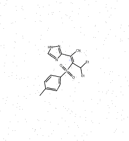 CCC(CC)/C(=C(\C#N)c1nc[nH]n1)S(=O)(=O)c1ccc(C)cc1